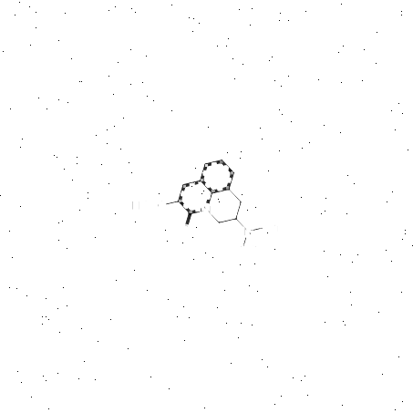 CCCN(CCC)C1Cc2cccc3cc(C(=O)O)c(=O)n(c23)C1